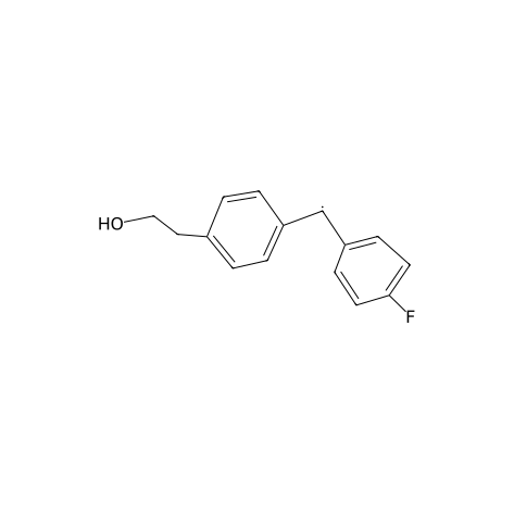 OCCc1ccc([CH]c2ccc(F)cc2)cc1